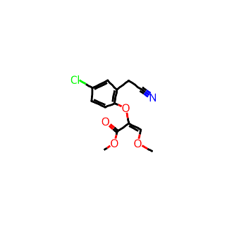 COC=C(Oc1ccc(Cl)cc1CC#N)C(=O)OC